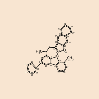 CCCc1c(B2c3ccc(-c4ccccc4)cc3-c3cccc(C)c32)oc2cc3ccccc3cc12